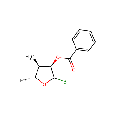 CC[C@H]1OC(Br)[C@H](OC(=O)c2ccccc2)[C@@H]1C